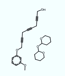 C1CCC(OC2CCCCO2)OC1.COc1cccc(OCC#CCC#CCC#CCO)c1